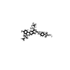 NS(=O)(=O)c1ccc(CNc2nc(NCC(F)(F)F)c3nc(-c4ccc(F)cc4NS(=O)(=O)C4CC4)ccc3n2)cc1